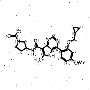 CCC(=O)N1CCC(NC(=O)c2c(C)[nH]c3c(-c4ccc(OC)cc4OCC4CC4)ncnc23)C1